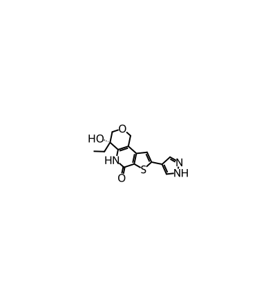 CC[C@@]1(O)COCc2c1[nH]c(=O)c1sc(-c3cn[nH]c3)cc21